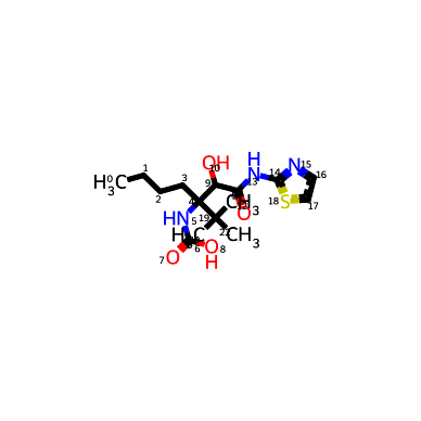 CCCCC(NC(=O)O)(C(O)C(=O)Nc1nccs1)C(C)(C)C